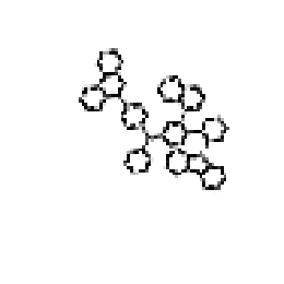 c1ccc(N(c2ccc(-c3cc4ccccc4c4ccccc34)cc2)c2ccc(-c3ccccc3-n3c4ccccc4c4ccccc43)c(-c3cccc4ccccc34)c2)cc1